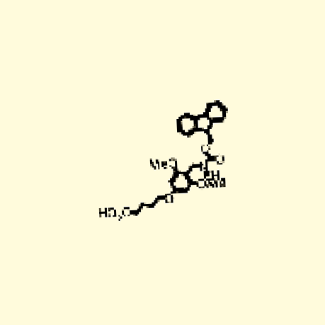 COc1cc(OCCCCC(=O)O)cc(OC)c1CN(C)C(=O)OCC1c2ccccc2-c2ccccc21